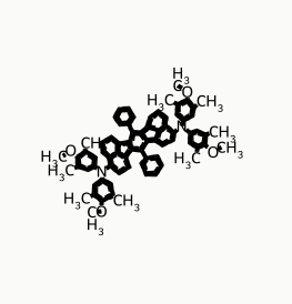 COc1c(C)cc(N(c2cc(C)c(OC)c(C)c2)c2ccc3c4c(-c5ccccc5)c5c6ccc(N(c7cc(C)c(OC)c(C)c7)c7cc(C)c(OC)c(C)c7)c7cccc(c5c(-c5ccccc5)c4c4cccc2c43)c76)cc1C